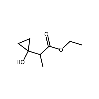 CCOC(=O)C(C)C1(O)CC1